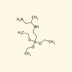 CCO[Si](CCNC(C)CN)(OCC)OCC